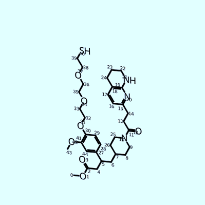 COC(=O)CC(CC1CCN(C(=O)CCc2ccc3c(n2)NCCC3)CC1)c1ccc(OCCOCCOCCS)c(OC)c1